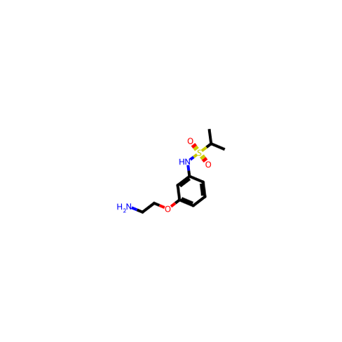 CC(C)S(=O)(=O)Nc1cccc(OCCN)c1